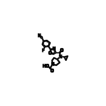 N#Cc1ccc(-c2nc(C(=O)N(C3CC3)C3CCN(C(=O)O)CC3)co2)c(F)c1